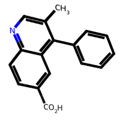 Cc1cnc2ccc(C(=O)O)cc2c1-c1ccccc1